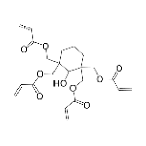 C=CC(=O)OCC1(COC(=O)C=C)CCCC(COC(=O)C=C)(COC(=O)C=C)C1O